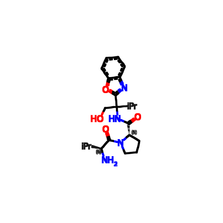 CC(C)[C@H](N)C(=O)N1CCC[C@H]1C(=O)NC(CO)(c1nc2ccccc2o1)C(C)C